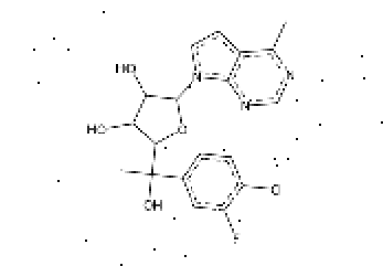 Cc1ncnc2c1ccn2C1OC(C(C)(O)c2ccc(Cl)c(F)c2)C(O)C1O